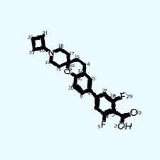 O=C(O)c1c(F)cc(-c2ccc3c(c2)CCC2(CCN(C4CCC4)CC2)O3)cc1F